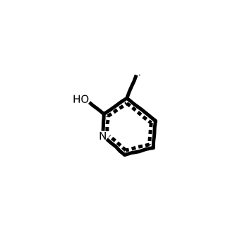 [CH2]c1cccnc1O